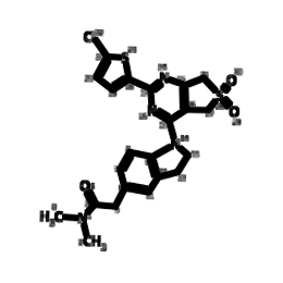 CN(C)C(=O)Cc1ccc2c(c1)CCN2c1nc(-c2ccc(Cl)s2)nc2c1CS(=O)(=O)C2